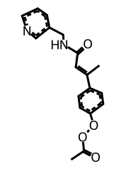 CC(=O)OOc1ccc(C(C)=CC(=O)NCc2cccnc2)cc1